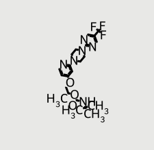 CC(COc1ccnc(N2CCN(c3ncc(C(F)(F)F)cn3)CC2)c1)OC(=O)NC(C)(C)C